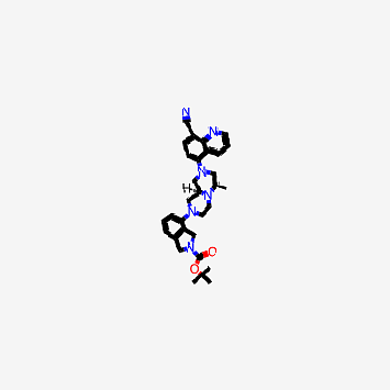 C[C@@H]1CN(c2ccc(C#N)c3ncccc23)C[C@@H]2CN(c3cccc4c3CN(C(=O)OC(C)(C)C)C4)CCN21